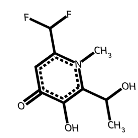 CC(O)c1c(O)c(=O)cc(C(F)F)n1C